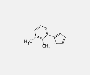 Cc1cccc(C2=CC=C[CH]2)c1C